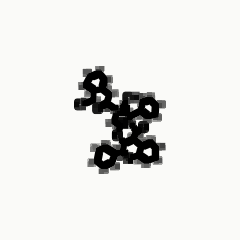 CC[C@H](NC(=O)c1c(OCCNC(=O)Cc2ccccc2CCl)c(-c2ccccc2)nc2ccccc12)c1ccccc1